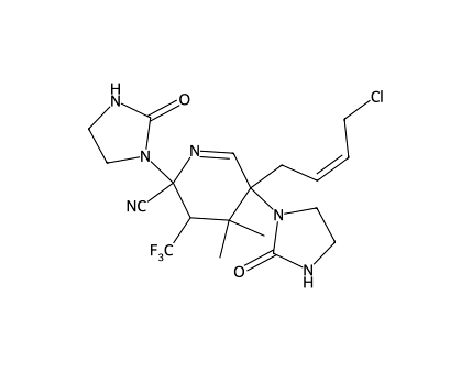 CC1(C)C(C(F)(F)F)C(C#N)(N2CCNC2=O)N=CC1(C/C=C\CCl)N1CCNC1=O